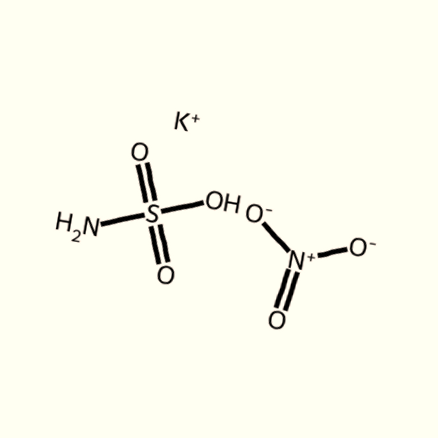 NS(=O)(=O)O.O=[N+]([O-])[O-].[K+]